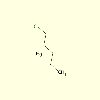 CCCCCCl.[Hg]